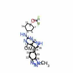 COc1nc(N[C@H]2CC[C@@H](OC(F)F)CC2)nc2[nH]cc(-c3ccc4nnn(C)c4c3)c12